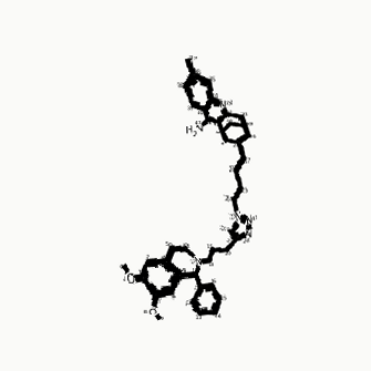 COc1cc2c(cc1OC)C(c1ccccc1)N(CCCc1cn(CCCCC3=CC4Cc5nc6cc(C)ccc6c(N)c5C(C3)C4)nn1)CC2